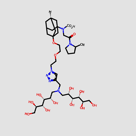 N#CC1CCCN1C(=O)CN(C(=O)O)C12CC3C[C@H](CC(OCCOCCn4cc(CN(C[C@H](O)[C@@H](O)[C@H](O)[C@H](O)CO)C[C@H](O)[C@@H](O)[C@H](O)[C@H](O)CO)nn4)(C3)C1)C2